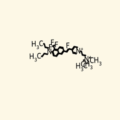 CCCCN(CCCC)c1ccc2cc(/C=C(\F)c3cc[n+](CCC[N+](CC)(CC)CC)cc3)ccc2c1C(F)(F)F